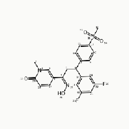 Cn1cc(/C(CC(c2ccc(S(C)(=O)=O)cc2)c2cc(F)cc(F)c2)=N\O)ccc1=O